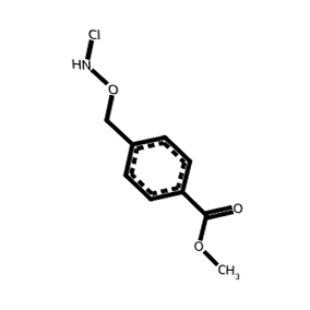 COC(=O)c1ccc(CONCl)cc1